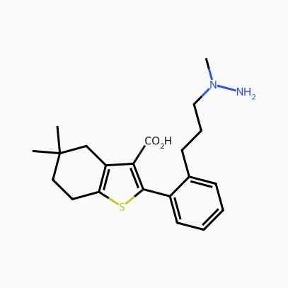 CN(N)CCCc1ccccc1-c1sc2c(c1C(=O)O)CC(C)(C)CC2